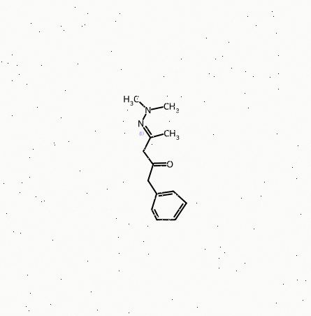 C/C(CC(=O)Cc1ccccc1)=N\N(C)C